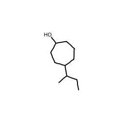 CCC(C)C1CCCC(O)CC1